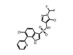 O=S(=O)(Nc1cnn(C(F)F)c1Cl)c1c[nH]c2c(-c3ccccn3)c(Cl)ccc12